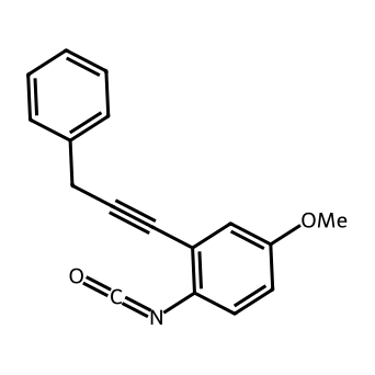 COc1ccc(N=C=O)c(C#CCc2ccccc2)c1